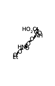 CCOCCOCCNC(=O)COCCOCCNC(=O)OC(C)(C)C(=O)O